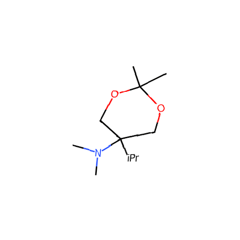 CC(C)C1(N(C)C)COC(C)(C)OC1